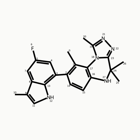 Cc1c(-c2cc(F)cc3c(C)c[nH]c23)ccc2c1-n1c(C)nnc1C(C)(C)N2